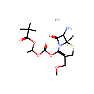 COCC1=C(OC(=O)OC(C)OC(=O)C(C)(C)C)N2C(=O)C(N)[C@@H]2SC1.Cl